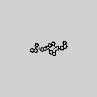 c1ccc(-c2nc(-c3ccc4ccc5ccccc5c4c3)nc(-c3cccc4ccc(-n5c6ccccc6c6cc7cc(-n8c9ccccc9c9c%10ccccc%10ccc98)ccc7cc65)cc34)n2)cc1